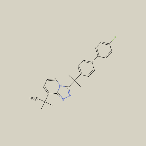 CC(C)(C(=O)O)c1cccn2c(C(C)(C)c3ccc(-c4ccc(F)cc4)cc3)nnc12